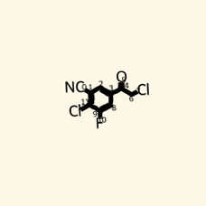 N#Cc1cc(C(=O)CCl)cc(F)c1Cl